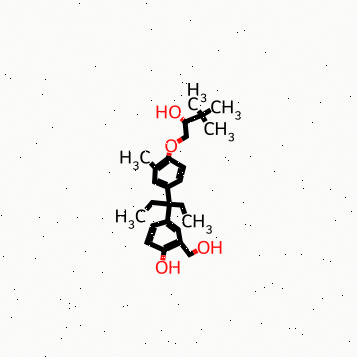 CCC(CC)(c1ccc(OCC(O)C(C)(C)C)c(C)c1)c1ccc(O)c(CO)c1